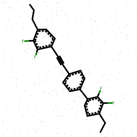 CCCc1ccc(C#Cc2ccc(-c3ccc(CC)c(F)c3F)cc2)c(F)c1F